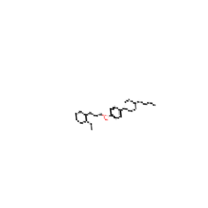 CCCCC1CCC(c2ccc(OCCCC3CCCCC3CC)cc2)CC1